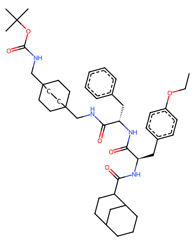 CCOc1ccc(C[C@@H](NC(=O)C2CCC3CCCC2C3)C(=O)N[C@@H](Cc2ccccc2)C(=O)NCC23CCC(CNC(=O)OC(C)(C)C)(CC2)CC3)cc1